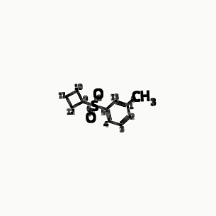 Cc1cccc(S(=O)(=O)C2CCC2)c1